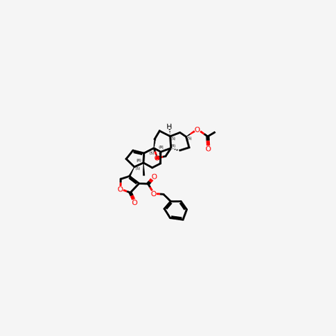 CC(=O)O[C@H]1CC[C@@]23CO[C@]4(CC[C@H]2C1)C1=CC[C@H](C2=C(C(=O)OCc5ccccc5)C(=O)OC2)[C@@]1(C)CC[C@H]34